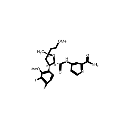 COCC[C@@]1(C)C[C@H](c2ccc(F)c(F)c2OC)[C@@H](C(=O)Nc2ccnc(C(N)=O)c2)O1